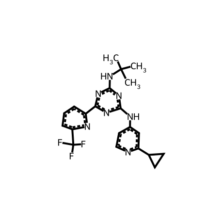 CC(C)(C)Nc1nc(Nc2ccnc(C3CC3)c2)nc(-c2cccc(C(F)(F)F)n2)n1